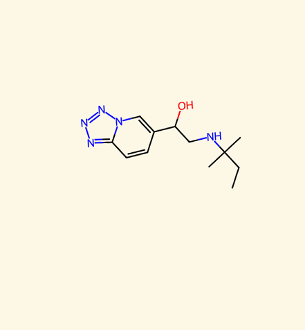 CCC(C)(C)NCC(O)c1ccc2nnnn2c1